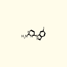 Nc1nccc(-n2ncc3ccc(I)cc32)n1